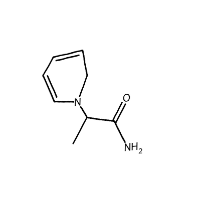 CC(C(N)=O)N1C=CC=CC1